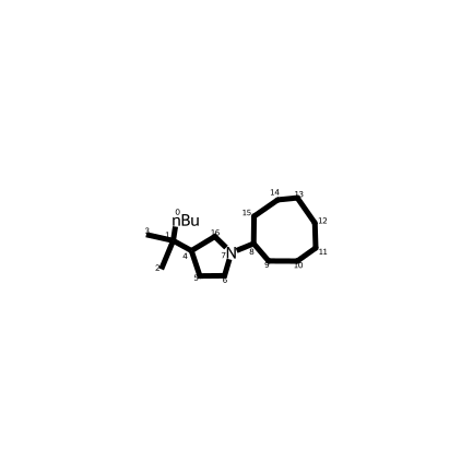 CCCCC(C)(C)C1CCN(C2CCCCCCC2)C1